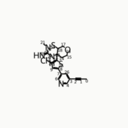 CC#Cc1cncc(-c2cc(Cl)c(C34CCOCC3SN(C)C(=N)N4)s2)c1